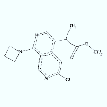 COC(=O)C(C)c1cnc(N2CCC2)c2cnc(Cl)cc12